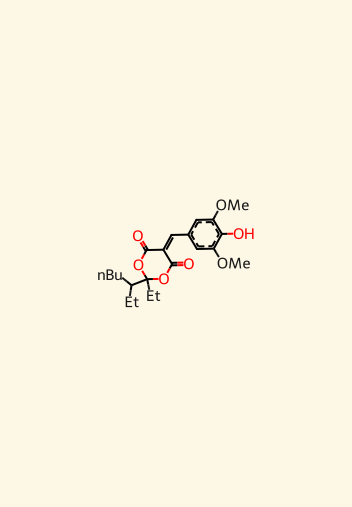 CCCCC(CC)C1(CC)OC(=O)C(=Cc2cc(OC)c(O)c(OC)c2)C(=O)O1